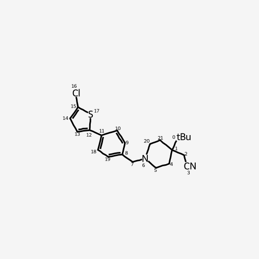 CC(C)(C)C1(CC#N)CCN(Cc2ccc(-c3ccc(Cl)s3)cc2)CC1